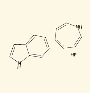 C1=CC=CNC=C1.F.c1ccc2[nH]ccc2c1